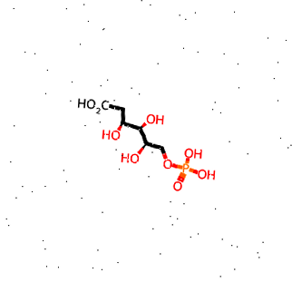 O=C(O)C[C@H](O)[C@@H](O)[C@H](O)COP(=O)(O)O